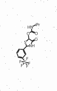 CC(C)NC(=O)OC1SC(c2cccc(S(F)(F)(F)(F)F)c2)NC1=O